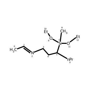 C/C=N/CCC(CCC)[Si](C)(OCC)OCC